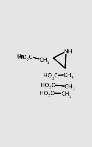 C1CN1.CC(=O)O.CC(=O)O.CC(=O)O.CC(=O)O.[Na]